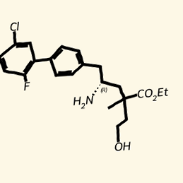 CCOC(=O)C(C)(CCO)C[C@H](N)Cc1ccc(-c2cc(Cl)ccc2F)cc1